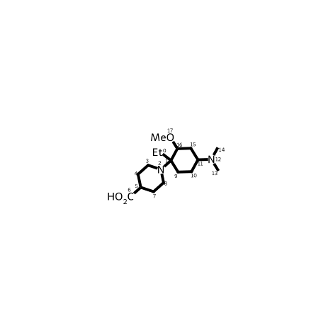 CCC1(N2CCC(C(=O)O)CC2)CCC(N(C)C)CC1OC